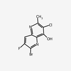 Cc1nc2cc(F)c(Br)nc2c(O)c1Cl